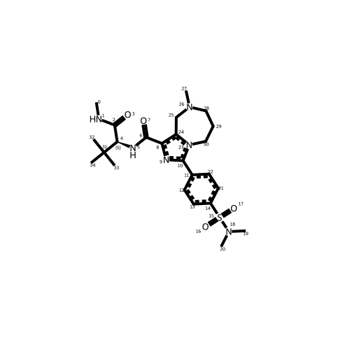 CNC(=O)[C@@H](NC(=O)c1nc(-c2ccc(S(=O)(=O)N(C)C)cc2)n2c1CN(C)CCC2)C(C)(C)C